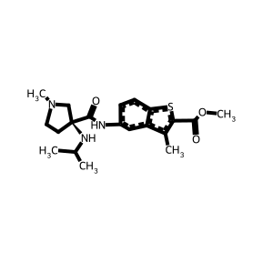 COC(=O)c1sc2ccc(NC(=O)[C@]3(NC(C)C)CCN(C)C3)cc2c1C